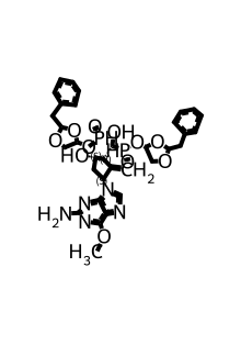 C=C1[C@@H](C(O)([PH](=O)OC2COC(Cc3ccccc3)O2)[PH](=O)OC2COC(Cc3ccccc3)O2)[C@@H](O)C[C@@H]1n1cnc2c(OC)nc(N)nc21